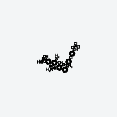 C=O.Cc1ccccc1.Cc1ccccc1C.ClC(Cl)Cl.Clc1ccccc1.Nc1ccc(S(N)(=O)=O)cc1.OCCO.Oc1ccccc1.c1ccccc1